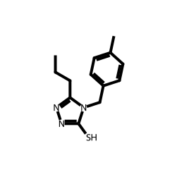 CCCc1nnc(S)n1Cc1ccc(C)cc1